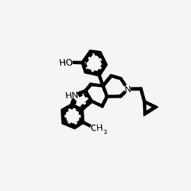 Cc1cccc2[nH]c3c(c12)CC1CN(CC2CC2)CCC1(c1cccc(O)c1)C3